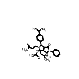 CC(C)CC1(OC(=O)O)C2C(=O)N(c3ccccc3)C(=O)C2C(c2ccc(C(=N)N)cc2)N1CCC(N)=O